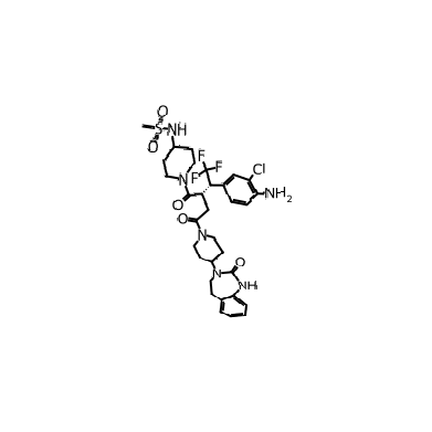 CS(=O)(=O)NC1CCN(C(=O)C(CC(=O)N2CCC(N3CCc4ccccc4NC3=O)CC2)[C@@H](c2ccc(N)c(Cl)c2)C(F)(F)F)CC1